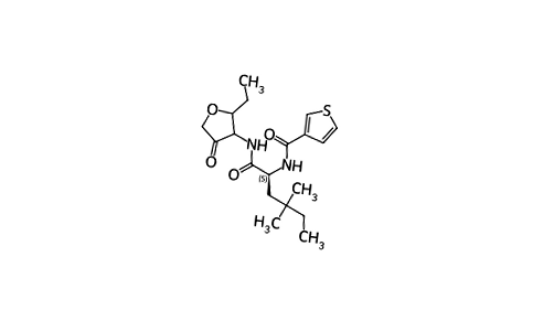 CCC1OCC(=O)C1NC(=O)[C@H](CC(C)(C)CC)NC(=O)c1ccsc1